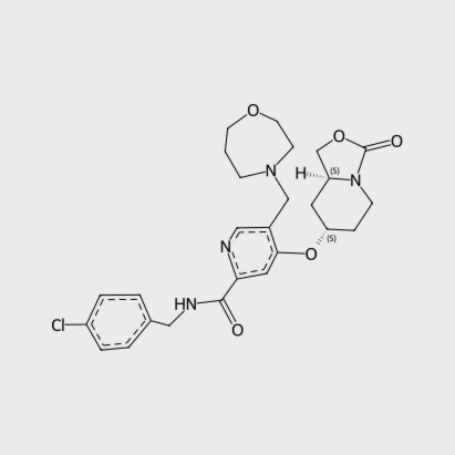 O=C(NCc1ccc(Cl)cc1)c1cc(O[C@H]2CCN3C(=O)OC[C@@H]3C2)c(CN2CCCOCC2)cn1